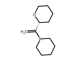 C=C([C@H]1CCCCO1)N1CCCCC1